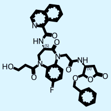 O=C(CN1C(=O)[C@@H](NC(=O)c2nccc3ccccc23)CN(C(=O)CCO)c2cc(F)ccc21)N[C@H]1CC(=O)OC1OCc1ccccc1